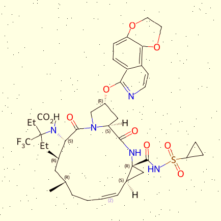 CCC(CC)(N(C(=O)O)[C@@H]1C(=O)N2C[C@H](Oc3nccc4c5c(ccc34)OCCO5)C[C@H]2C(=O)N[C@]2(C(=O)NS(=O)(=O)C3CC3)C[C@H]2/C=C\CC[C@@H](C)C[C@H]1C)C(F)(F)F